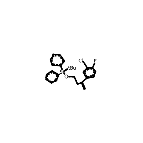 C=C(CCO[Si](c1ccccc1)(c1ccccc1)C(C)(C)C)c1ccc(F)c(Cl)c1